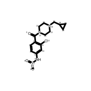 O=C(c1ccc(N[SH](=O)=O)cc1Cl)N1CCN(CC2CC2)CC1